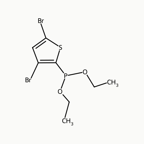 CCOP(OCC)c1sc(Br)cc1Br